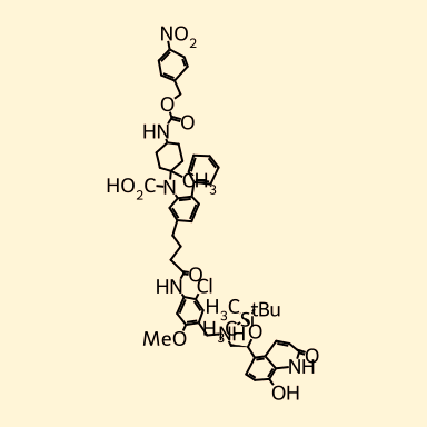 COc1cc(NC(=O)CCCc2ccc(-c3ccccc3)c(N(C(=O)O)C3(C)CCC(NC(=O)OCc4ccc([N+](=O)[O-])cc4)CC3)c2)c(Cl)cc1CNC[C@@H](O[Si](C)(C)C(C)(C)C)c1ccc(O)c2[nH]c(=O)ccc12